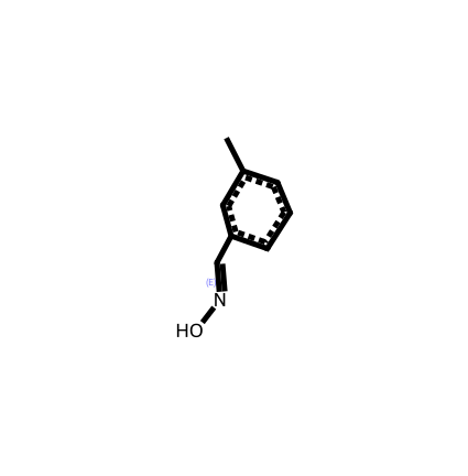 Cc1cccc(/C=N/O)c1